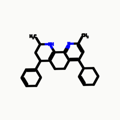 Cc1cc(C2C=CCCC2)c2c(n1)C1=C(CC2)C(C2=CC=CCC2)CC(C)N1